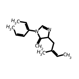 C=C1C(C/C(C)=C\C)N=CN1C(/C=C\C)=C/C